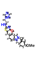 COc1ccc(Cn2ncc3cc(C=C4SC(NCCn5cncn5)=NC4=O)ccc32)c(C(F)(F)F)c1